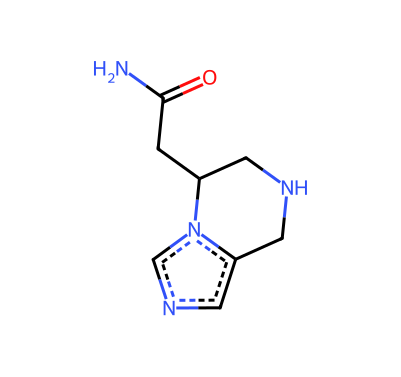 NC(=O)CC1CNCc2cncn21